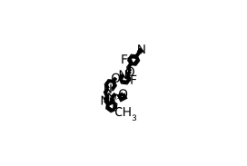 Cc1ccc2nc(CN3CCC(Oc4ccc(F)c(OCc5ccc(C#N)cc5F)n4)CC3)n(C[C@@H]3CCO3)c2c1